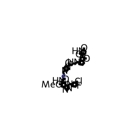 COc1cc2ncnc(Nc3ccc(F)c(Cl)c3)c2cc1NC(=O)/C=C/CN1CCN(C(=O)CCCNc2cccc3c2CN(C2CCC(=O)NC2=O)C3=O)CC1